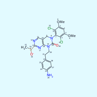 COc1cc(OC)c(Cl)c(N2Cc3cnc([S+](C)[O-])nc3N(CCc3ccc(N)cc3)C2=O)c1Cl